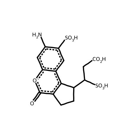 Nc1cc2oc(=O)c3c(c2cc1S(=O)(=O)O)C(C(CC(=O)O)S(=O)(=O)O)CC3